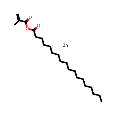 C=C(C)C(=O)OC(=O)CCCCCCCCCCCCCCCCC.[Zn]